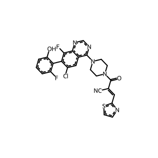 N#C/C(=C\c1nccs1)C(=O)N1CCN(c2ncnc3c(F)c(-c4c(O)cccc4F)c(Cl)cc23)CC1